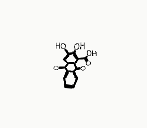 O=C1c2ccccc2C(=O)c2c1cc(O)c(O)c2C(=O)O